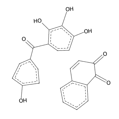 O=C(c1ccc(O)cc1)c1ccc(O)c(O)c1O.O=C1C=Cc2ccccc2C1=O